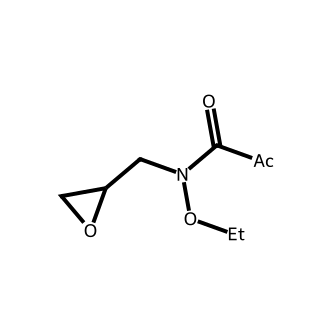 CCON(CC1CO1)C(=O)C(C)=O